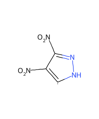 O=[N+]([O-])c1[c][nH]nc1[N+](=O)[O-]